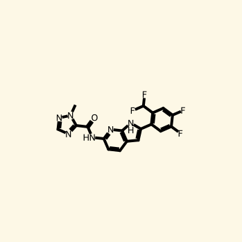 Cn1ncnc1C(=O)Nc1ccc2cc(-c3cc(F)c(F)cc3C(F)F)[nH]c2n1